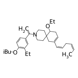 C=C(c1ccc(OC(C)CC)c(CC)c1)N1CCC2(CC1)CC(/C=C\C/C=C\C)=CCC2OCC